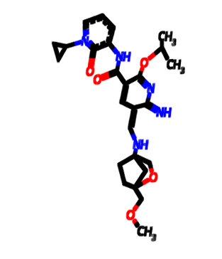 COCC12CCC(N/C=C3/C=C(C(=O)Nc4cccn(C5CC5)c4=O)C(OC(C)C)=NC3=N)(CO1)C2